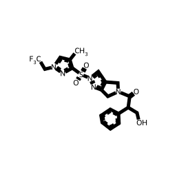 Cc1cn(CC(F)(F)F)nc1S(=O)(=O)n1cc2c(n1)CN(C(=O)C(CO)c1ccccc1)C2